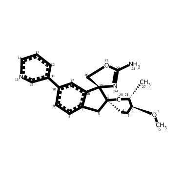 CO[C@H]1CC[C@@]2(Cc3ccc(-c4cccnc4)cc3[C@@]23COC(N)=N3)C[C@@H]1C